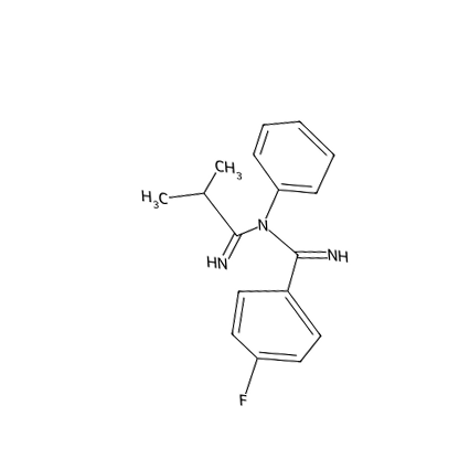 CC(C)C(=N)N(C(=N)c1ccc(F)cc1)c1ccccc1